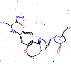 C[C@H](Nc1ccc2c(c1)OCCn1cc(N3CC(C#N)CC3=O)nc1-2)C(N)=O